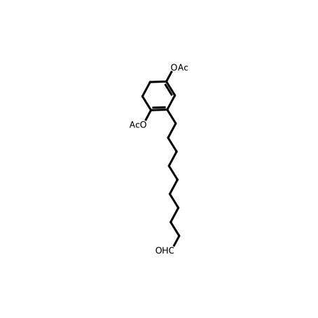 CC(=O)OC1=CC(CCCCCCCCCC=O)=C(OC(C)=O)CC1